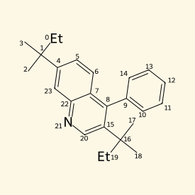 CCC(C)(C)c1ccc2c(-c3ccccc3)c(C(C)(C)CC)cnc2c1